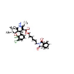 COC(=O)C1=C(C)NC(C)=C(C(=O)OCCCCCCN2C(=O)c3ccccc3C2=O)C1c1cccc(Cl)c1Cl